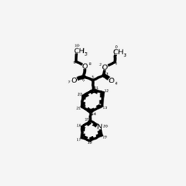 CCOC(=O)C(C(=O)OCC)c1ccc(-c2ccccn2)cc1